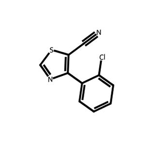 N#Cc1scnc1-c1ccccc1Cl